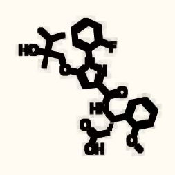 COc1ccccc1[C@H](CC(=O)O)NC(=O)c1cc(OC[C@](C)(O)C(C)C)n(-c2ccccc2F)n1